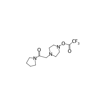 O=C(CN1CCN(OC(=O)C(F)(F)F)CC1)N1CCCC1